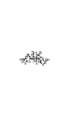 C=CCN(C(=O)c1cc2c(OC)cccc2[nH]1)[C@@H](CC(C)C)C(=O)N[C@H](C#N)C[C@@H]1CCNC1=O